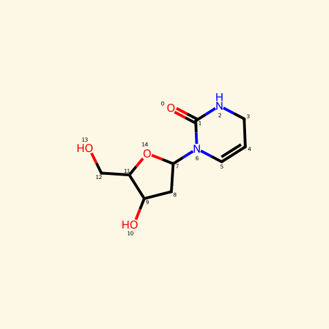 O=C1NCC=CN1C1CC(O)C(CO)O1